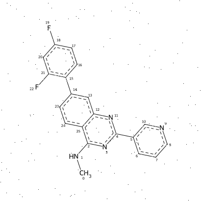 CNc1nc(-c2cccnc2)nc2cc(-c3ccc(F)cc3F)ccc12